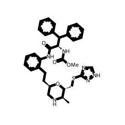 COC(=O)N[C@H](C(=O)Nc1ccccc1CC[C@@H]1CN[C@H](C)[C@@H](CSc2nc[nH]n2)O1)C(c1ccccc1)c1ccccc1